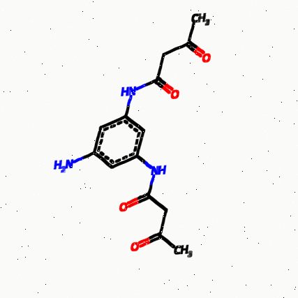 CC(=O)CC(=O)Nc1cc(N)cc(NC(=O)CC(C)=O)c1